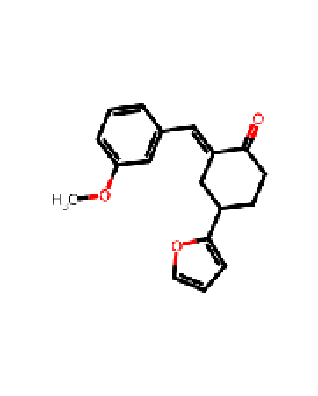 COc1cccc(C=C2CC(c3ccco3)CCC2=O)c1